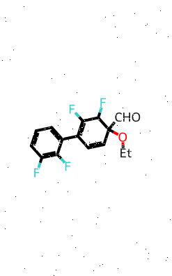 CCOC1(C=O)C=CC(c2cccc(F)c2F)=C(F)C1F